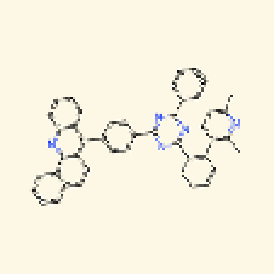 Cc1ccc(C2=C(c3nc(-c4cc#ccc4)nc(-c4ccc(-c5c6ccccc6nc6c5ccc5ccccc56)cc4)n3)CCC=C2)c(C)n1